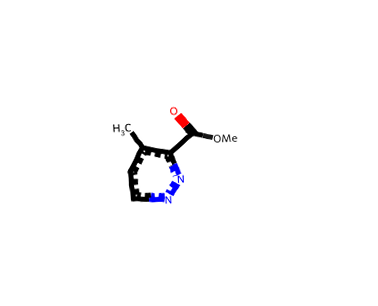 COC(=O)c1nnccc1C